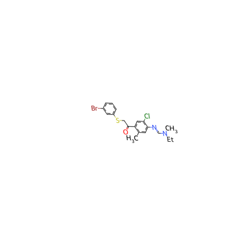 CCN(C)C=Nc1cc(C)c(C(=O)CSc2cccc(Br)c2)cc1Cl